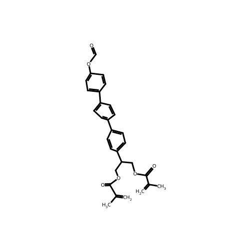 C=C(C)C(=O)OCC(COC(=O)C(=C)C)c1ccc(-c2ccc(-c3ccc(OC=O)cc3)cc2)cc1